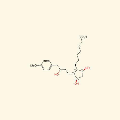 COc1ccc(CC(O)CC[C@@H]2[C@@H](CCCCCCC(=O)O)[C@@H](O)C[C@H]2O)cc1